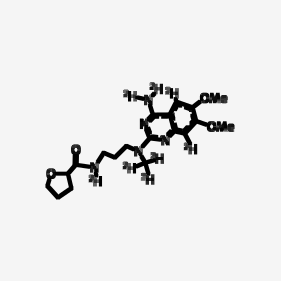 [2H]c1c(OC)c(OC)c([2H])c2c(N([2H])[2H])nc(N(CCCN([2H])C(=O)C3CCCO3)C([2H])([2H])[2H])nc12